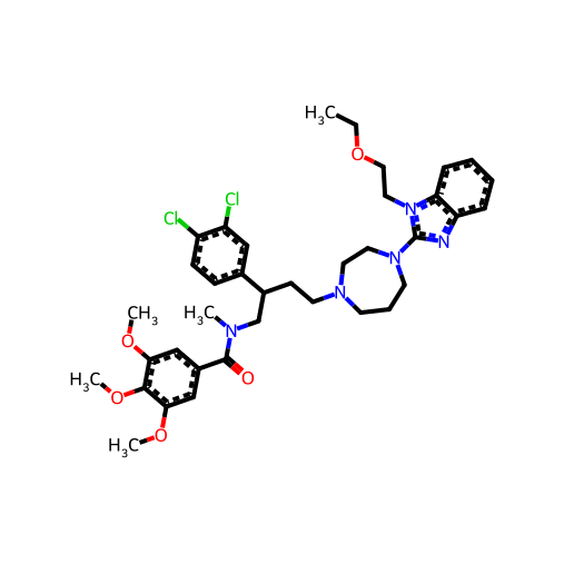 CCOCCn1c(N2CCCN(CCC(CN(C)C(=O)c3cc(OC)c(OC)c(OC)c3)c3ccc(Cl)c(Cl)c3)CC2)nc2ccccc21